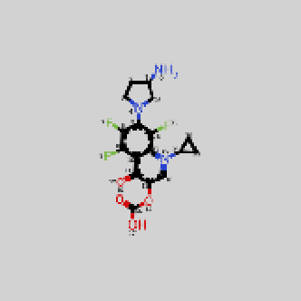 NC1CCN(c2c(F)c(F)c3c(=O)c(OC(=O)O)cn(C4CC4)c3c2F)C1